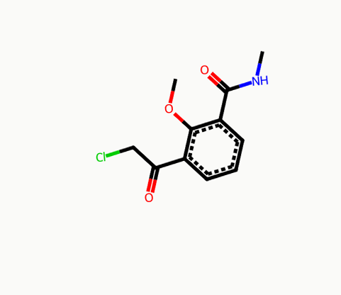 CNC(=O)c1cccc(C(=O)CCl)c1OC